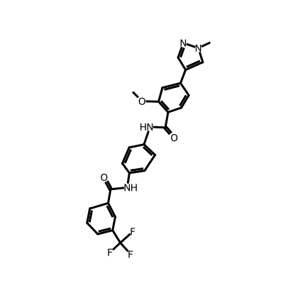 COc1cc(-c2cnn(C)c2)ccc1C(=O)Nc1ccc(NC(=O)c2cccc(C(F)(F)F)c2)cc1